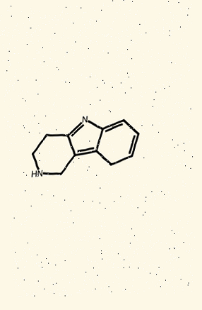 C1=CCC2=C3CNCCC3=NC2=C1